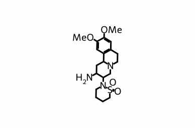 COc1cc2c(cc1OC)C1CC(N)C(N3CCCCS3(=O)=O)CN1CC2